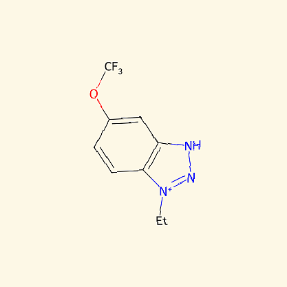 CC[n+]1n[nH]c2cc(OC(F)(F)F)ccc21